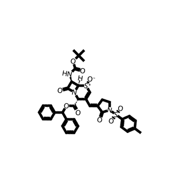 Cc1ccc(S(=O)(=O)N2CCC(=CC3=C[S+]([O-])[C@@H]4[C@H](NC(=O)OC(C)(C)C)C(=O)N4[C@H]3C(=O)OC(c3ccccc3)c3ccccc3)C2=O)cc1